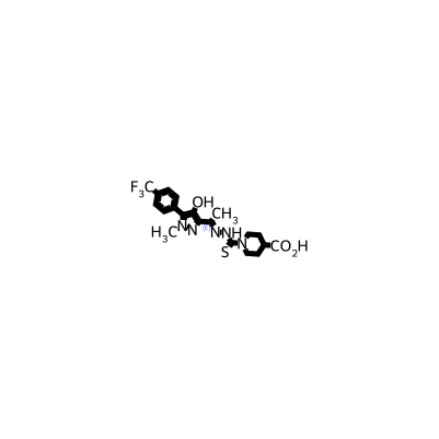 C/C(=N\NC(=S)N1CCC(C(=O)O)CC1)c1nn(C)c(-c2ccc(C(F)(F)F)cc2)c1O